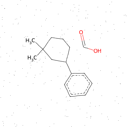 CC1(C)CCCC(c2ccccc2)C1.O=CO